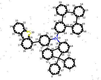 c1ccc(C2(c3ccccc3)c3ccccc3-c3c(N(c4ccc(-c5cccc6c5sc5ccccc56)cc4)c4ccc5c(c4)-c4ccccc4-c4ccccc4-c4ccccc4-5)cccc32)cc1